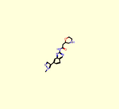 Cn1cc(-c2ccc3cnc(NC(=O)CC4CNCCO4)nc3c2)cn1